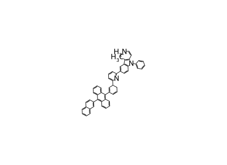 Cc1c(/C=C\N)n(-c2ccccc2)c2ccc(-c3cccc(C4C=C(c5c6ccccc6c(-c6ccc7ccccc7c6)c6ccccc56)C=CC4)n3)cc12